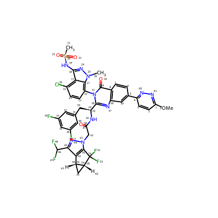 COc1ccc(-c2ccc3c(=O)n(-c4ccc(Cl)c5c(NS(C)(=O)=O)nn(C)c45)c([C@H](Cc4cc(F)cc(F)c4)NC(=O)Cn4nc(C(F)F)c5c4C(F)(F)[C@@H]4C[C@H]54)nc3c2)nn1